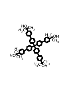 CC(C)(O)c1ccc(-c2ccc(C(c3ccc(-c4ccc(C(C)(C)O)cc4)cc3)(c3ccc(-c4ccc(C(C)(C)O)cc4)cc3)c3ccc(-c4ccc(C(C)(C)O)cc4)cc3)cc2)cc1